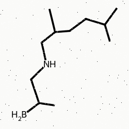 BC(C)CNCC(C)CCC(C)C